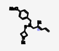 C=C/C=C(\CC)CN(Cc1ccc(OC)cc1)SC1CN(CC)C1